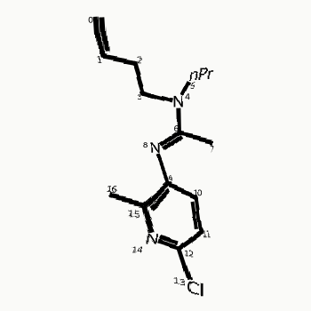 C=CCCN(CCC)/C(C)=N/c1ccc(Cl)nc1C